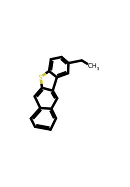 CCc1ccc2sc3cc4ccccc4cc3c2c1